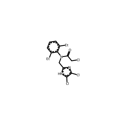 CCc1cccc(CC)c1N(Cc1nc(Cl)c(Cl)[nH]1)C(=O)CCl